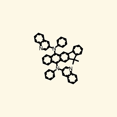 CC1(C)c2ccccc2-c2cc3c(N(c4ccccc4)c4cnc5ccccc5c4)c4ccccc4c(N(c4ccccc4)c4cnc5ccccc5c4)c3cc21